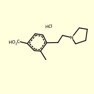 Cc1cc(C(=O)O)ccc1CCN1CCCC1.Cl